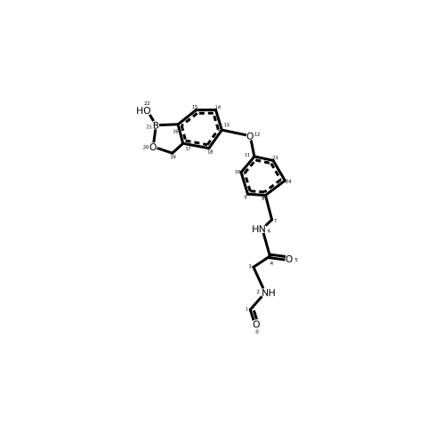 O=CNCC(=O)NCc1ccc(Oc2ccc3c(c2)COB3O)cc1